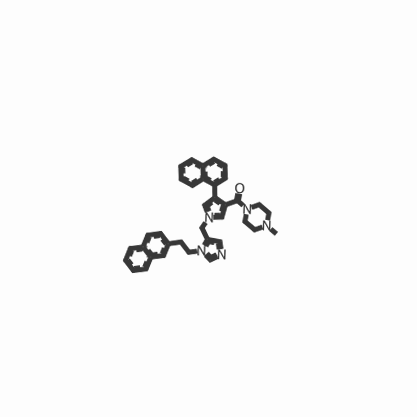 CN1CCN(C(=O)c2cn(Cc3cncn3CCc3ccc4ccccc4c3)cc2-c2cccc3ccccc23)CC1